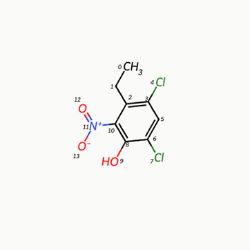 CCc1c(Cl)cc(Cl)c(O)c1[N+](=O)[O-]